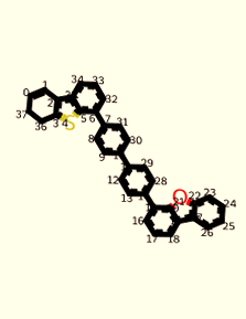 C1=Cc2c(sc3c(-c4ccc(-c5ccc(-c6cccc7c6oc6ccccc67)cc5)cc4)cccc23)CC1